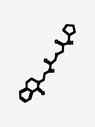 O=C(CSCC(=O)NC1CCCC1)NCCN1CCc2ccccc2C1=O